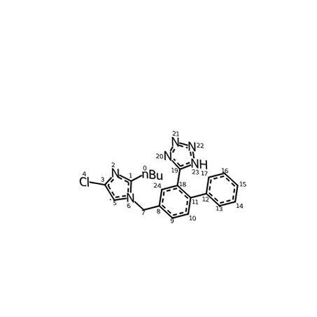 CCCCc1nc(Cl)[c]n1Cc1ccc(-c2ccccc2)c(-c2nnn[nH]2)c1